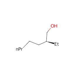 CCCCC[C@H](CC)CO